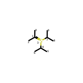 CC(C)=S(C(C)C)C(C)C